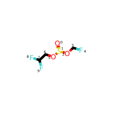 O=S(OCF)OCC(F)F